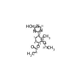 C=CC(=O)Oc1ccc(-c2ncnc(O)n2)c(C)c1OCC